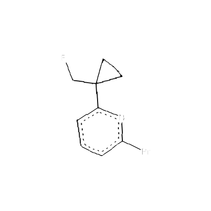 FCC1(c2cccc(Br)n2)CC1